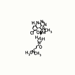 COc1c(Cl)cccc1-c1c(C#C[C@@H]2[C@H]3CN(C(=O)/C=C/CN(C)C)C[C@@H]23)n(C)c2ncnc(N)c12